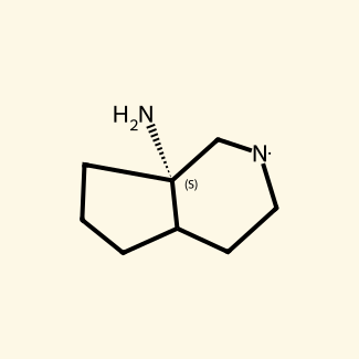 N[C@@]12CCCC1CC[N]C2